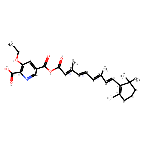 CCOc1cc(C(=O)OC(=O)/C=C(C)/C=C/C=C(C)/C=C/C2=C(C)CCCC2(C)C)cnc1C(=O)O